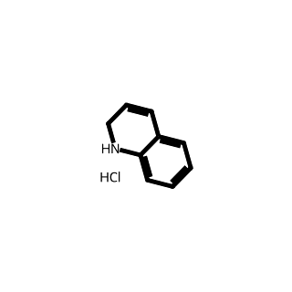 C1=Cc2ccccc2NC1.Cl